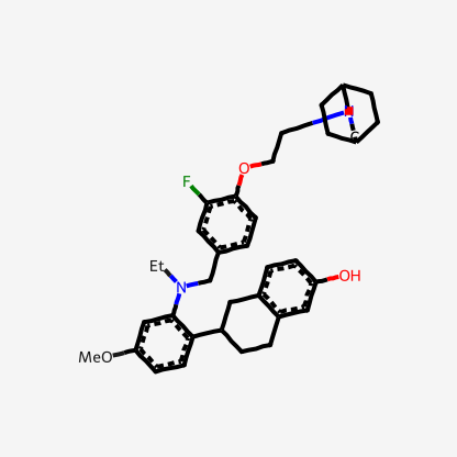 CCN(Cc1ccc(OCCN2CC3CCC(CC3)C2)c(F)c1)c1cc(OC)ccc1C1CCc2cc(O)ccc2C1